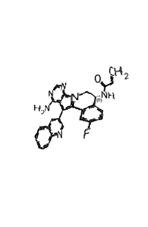 C=CC(=O)N[C@H]1Cn2c(c(-c3cnc4ccccc4c3)c3c(N)ncnc32)-c2cc(F)ccc21